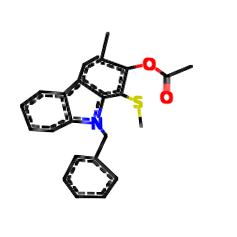 CSc1c(OC(C)=O)c(C)cc2c3ccccc3n(Cc3ccccc3)c12